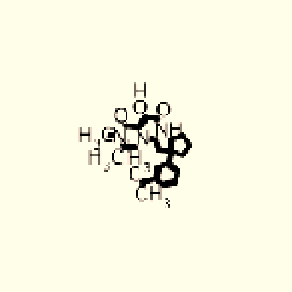 CC(C)c1cccc(C2(CC3NC(=O)C(O)=C4C(=O)N(C)[C@@H](C)CN43)CCCC2)c1